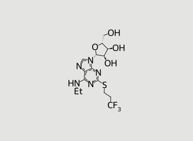 CCNc1nc(SCCC(F)(F)F)nc2c1ncn2[C@@H]1O[C@H](CO)[C@@H](O)[C@H]1O